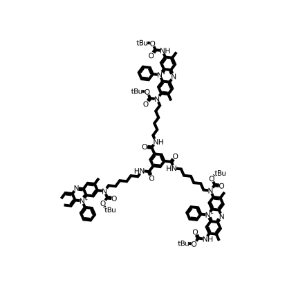 C/C=c1/nc2cc(C)c(N(CCCCCCNC(=O)c3cc(C(=O)NCCCCCCN(C(=O)OC(C)(C)C)c4cc5c(cc4C)nc4cc(C)c(NC(=O)OC(C)(C)C)cc4[n+]5-c4ccccc4)cc(C(=O)NCCCCCCN(C(=O)OC(C)(C)C)c4cc5c(cc4C)nc4cc(C)c(NC(=O)OC(C)(C)C)cc4[n+]5-c4ccccc4)c3)C(=O)OC(C)(C)C)cc2[n+](-c2ccccc2)/c1=C/C